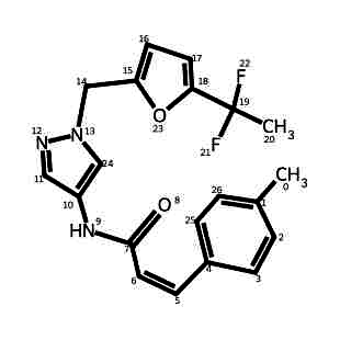 Cc1ccc(/C=C\C(=O)Nc2cnn(Cc3ccc(C(C)(F)F)o3)c2)cc1